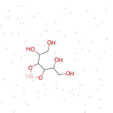 OCC(O)C1OBOC1C(O)CO